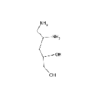 NCC(N)CC(O)CO